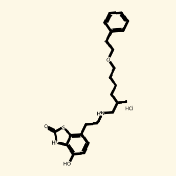 CC(CCCCOCCc1ccccc1)CNCCc1ccc(O)c2[nH]c(=O)sc12.Cl